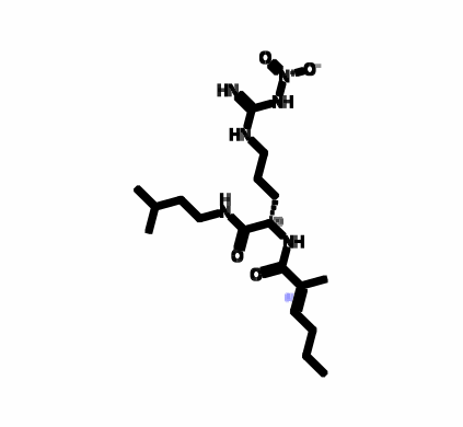 CCC/C=C(\C)C(=O)N[C@@H](CCCNC(=N)N[N+](=O)[O-])C(=O)NCCC(C)C